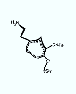 CCCOc1ccc(CCN)cc1OC